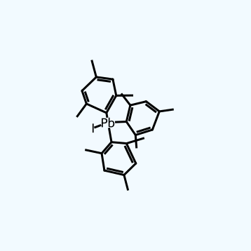 Cc1cc(C)[c]([Pb]([I])([c]2c(C)cc(C)cc2C)[c]2c(C)cc(C)cc2C)c(C)c1